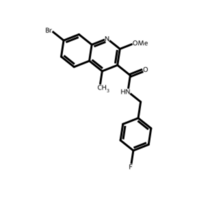 COc1nc2cc(Br)ccc2c(C)c1C(=O)NCc1ccc(F)cc1